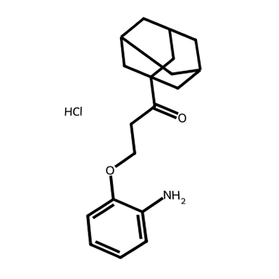 Cl.Nc1ccccc1OCCC(=O)C12CC3CC(CC(C3)C1)C2